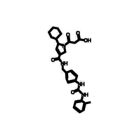 Cc1ccccc1NC(=O)Nc1ccc(CNC(=O)C2=CC(C3CCCCC3)N(C(=O)CC(=O)O)C2)cc1